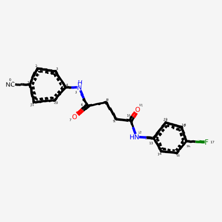 N#Cc1ccc(NC(=O)CCC(=O)Nc2ccc(F)cc2)cc1